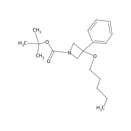 CCCCCOC1(c2ccccc2)CN(C(=O)OC(C)(C)C)C1